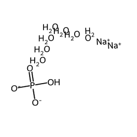 O.O.O.O.O.O.O.O=P([O-])([O-])O.[Na+].[Na+]